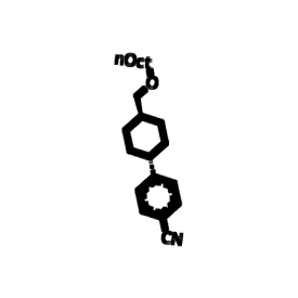 CCCCCCCCOC[C@H]1CC[C@H](c2ccc(C#N)cc2)CC1